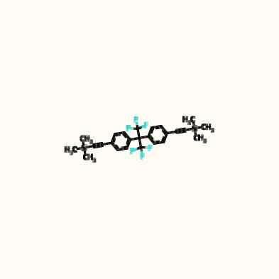 C[Si](C)(C)C#Cc1ccc(C(c2ccc(C#C[Si](C)(C)C)cc2)(C(F)(F)F)C(F)(F)F)cc1